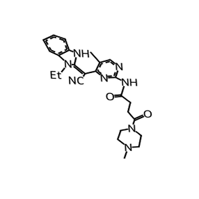 CCN1C(=C(C#N)c2nc(NC(=O)CCC(=O)N3CCN(C)CC3)ncc2C)Nc2ccccc21